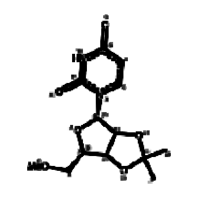 COC[C@H]1O[C@@H](n2ccc(=O)[nH]c2=O)C2OC(C)(C)OC21